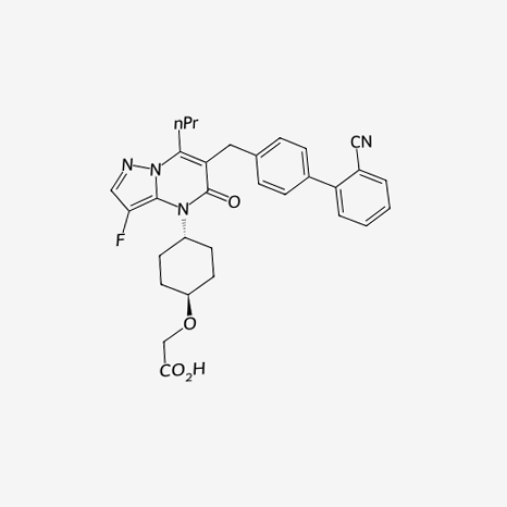 CCCc1c(Cc2ccc(-c3ccccc3C#N)cc2)c(=O)n([C@H]2CC[C@H](OCC(=O)O)CC2)c2c(F)cnn12